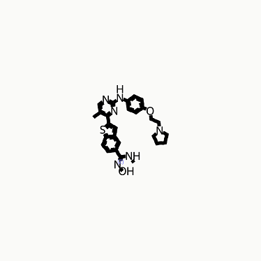 CN/C(=N\O)c1ccc2sc(-c3nc(Nc4ccc(OCCN5CCCC5)cc4)ncc3C)cc2c1